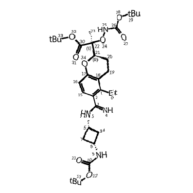 CCc1c(C(=N)N[C@H]2C[C@@H](NC(=O)OC(C)(C)C)C2)ccc2c1CC[C@H]([C@](C)(ONC(=O)OC(C)(C)C)C(=O)OC(C)(C)C)O2